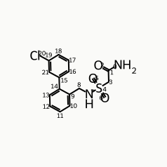 NC(=O)CS(=O)(=O)NCc1ccccc1-c1cccc(Cl)c1